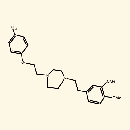 COc1ccc(CCN2CCN(CCOc3ccc(C(F)(F)F)cc3)CC2)cc1OC